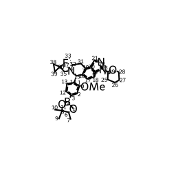 COc1cc(B2OC(C)C(C)(C)O2)ccc1[C@@H]1c2ccc3c(cnn3C3CCCCO3)c2C[C@@H](C)N1CC1(F)CC1